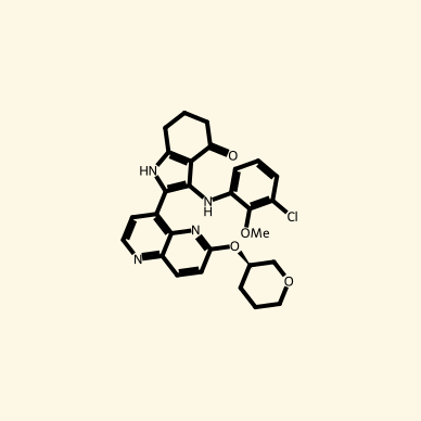 COc1c(Cl)cccc1Nc1c(-c2ccnc3ccc(O[C@@H]4CCCOC4)nc23)[nH]c2c1C(=O)CCC2